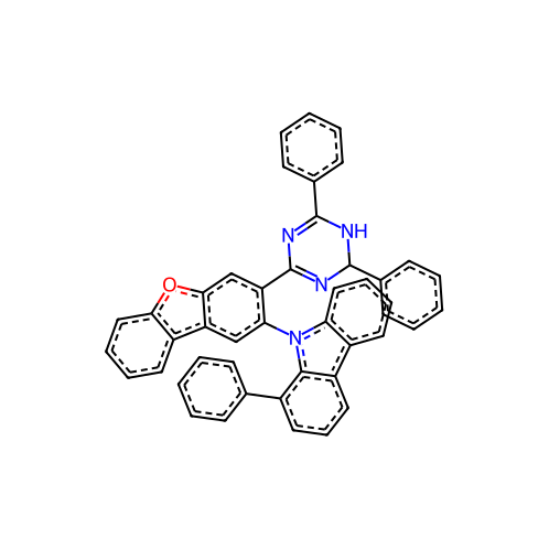 c1ccc(C2=NC(c3cc4oc5ccccc5c4cc3-n3c4ccccc4c4cccc(-c5ccccc5)c43)=NC(c3ccccc3)N2)cc1